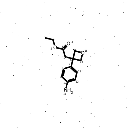 CCOC(=O)CC1(c2ccc(N)cc2)COC1